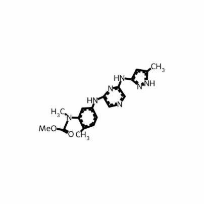 COC(=O)N(C)c1cc(Nc2cncc(Nc3cc(C)[nH]n3)n2)ccc1C